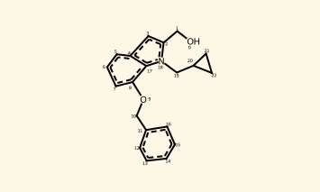 OCc1cc2cccc(OCc3ccccc3)c2n1CC1CC1